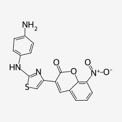 Nc1ccc(Nc2nc(-c3cc4cccc([N+](=O)[O-])c4oc3=O)cs2)cc1